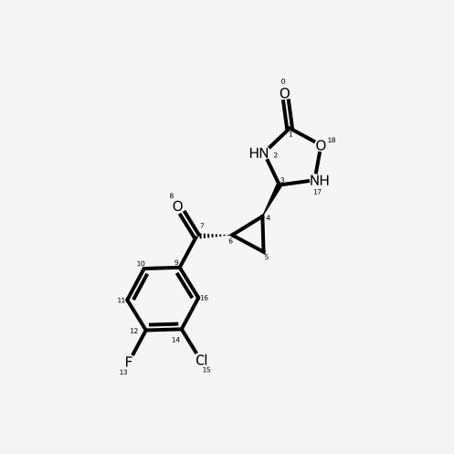 O=C1NC([C@H]2C[C@@H]2C(=O)c2ccc(F)c(Cl)c2)NO1